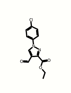 CCOC(=O)c1nn(-c2ccc(Cl)cc2)cc1C=O